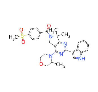 CC1COCCN1c1nc(-c2c[nH]c3ccccc23)nc2c1CN(C(=O)c1ccc(S(C)(=O)=O)cc1)C2(C)C